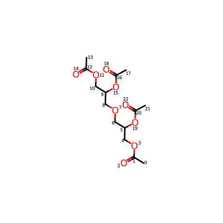 CC(=O)OCC(COCC(COC(C)=O)OC(C)=O)OC(C)=O